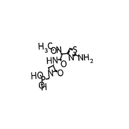 CO/N=C(\C(=O)N[C@H]1CN(C[PH](=O)O)C1=O)c1csc(N)n1